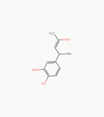 C/C(O)=C/C(c1ccc(O)c(O)c1)C(C)(C)C